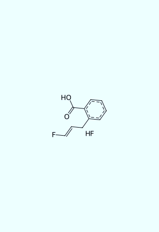 F.O=C(O)c1ccccc1CC=CF